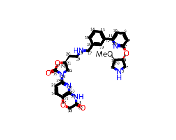 CO[C@H]1CNC[C@@H]1Oc1cccc(-c2cccc(CNCC[C@H]3CN(c4ccc5c(n4)NC(=O)CO5)C(=O)O3)c2)n1